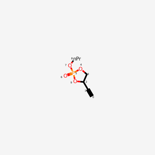 C#CC1COP(=O)(OCCC)O1